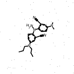 CCCN(CCC)c1ccc(N(N)c2ccc(N(C)C)cc2C#N)c(C#N)c1